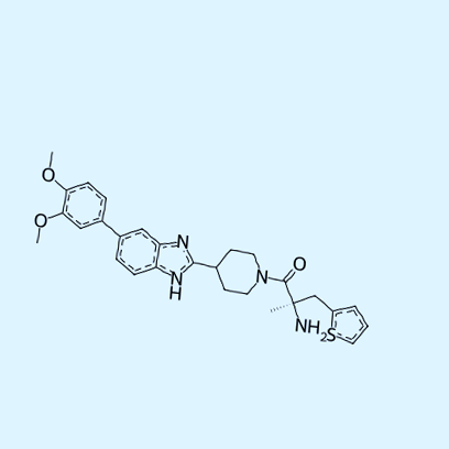 COc1ccc(-c2ccc3[nH]c(C4CCN(C(=O)[C@](C)(N)Cc5cccs5)CC4)nc3c2)cc1OC